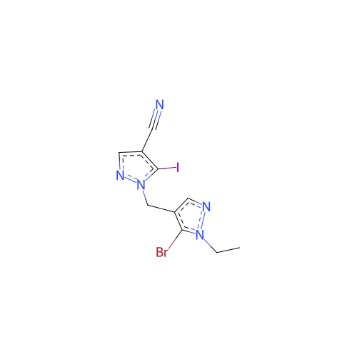 CCn1ncc(Cn2ncc(C#N)c2I)c1Br